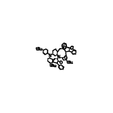 CC1=C2C=C(C(C)(C)C)CC1N(C1C=CC=C3c4ccccc4OC31)C1CC(N(C3=CCC(C(C)(C)C)C=C3)C3CC=C(C(C)(C)C)CC3)CCC1CC1=CC=CC3C4OC5=CC=CC5C4C2[C@H]13